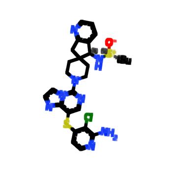 CC(C)(C)[S@@+]([O-])N[C@@H]1c2cccnc2CC12CCN(c1ncc(Sc3ccnc(N)c3Cl)c3nccn13)CC2